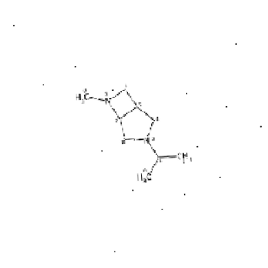 CC(C)N1CC2CN(C)C2C1